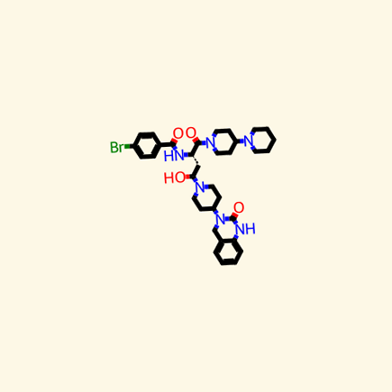 O=C(N[C@@H](CC(O)N1CCC(N2Cc3ccccc3NC2=O)CC1)C(=O)N1CCC(N2CCCCC2)CC1)c1ccc(Br)cc1